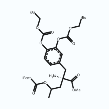 CCCC(C)C(=O)OC(C)C[C@@](N)(Cc1ccc(OC(=O)OCC(C)CC)c(OC(=O)OCC(C)CC)c1)C(=O)OC